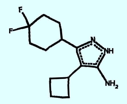 Nc1[nH]nc(C2CCC(F)(F)CC2)c1C1CCC1